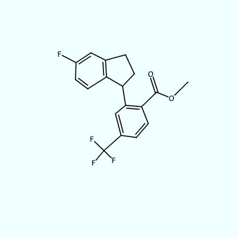 COC(=O)c1ccc(C(F)(F)F)cc1C1CCc2cc(F)ccc21